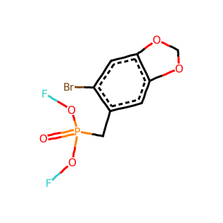 O=P(Cc1cc2c(cc1Br)OCO2)(OF)OF